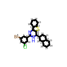 Clc1cc(Br)cc(C2=Nc3c(sc4ccccc34)C(c3ccc4ccccc4c3)N2)c1